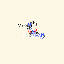 COc1ccc(-c2nc(C(=O)NC3CC(CNc4ncccn4)C3)c([C@H](C)N)o2)c2ccc(C(F)(F)F)nc12